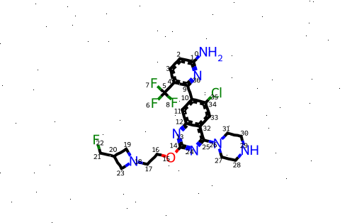 Nc1ccc(C(F)(F)F)c(-c2cc3nc(OCCN4CC(CF)C4)nc(N4CCNCC4)c3cc2Cl)n1